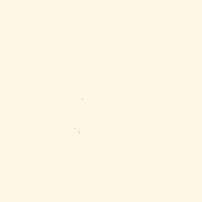 C#CC1(c2nc(-c3ccc(C)cc3)no2)CC1